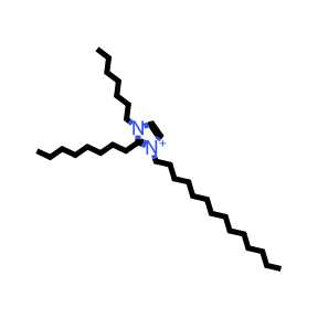 CCCCCCCCCCCCCC[n+]1ccn(CCCCCCC)c1CCCCCCCC